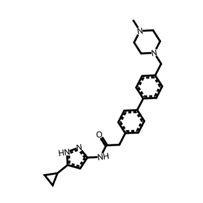 CN1CCN(Cc2ccc(-c3ccc(CC(=O)Nc4cc(C5CC5)[nH]n4)cc3)cc2)CC1